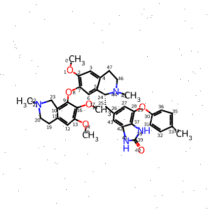 COc1cc2c(cc1Oc1c3c(cc(OC)c1OC)CCN(C)C3)[C@@H](Cc1cc(Oc3ccc(C)cc3)c3[nH]c(=O)[nH]c3c1)N(C)CC2